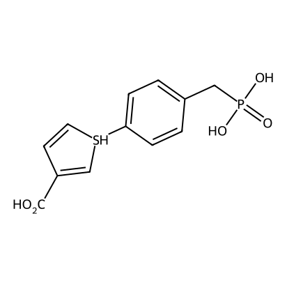 O=C(O)C1=C[SH](c2ccc(CP(=O)(O)O)cc2)C=C1